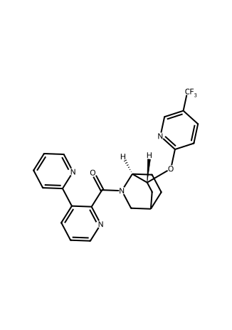 O=C(c1ncccc1-c1ccccn1)N1CC2CC[C@H]1[C@H](Oc1ccc(C(F)(F)F)cn1)C2